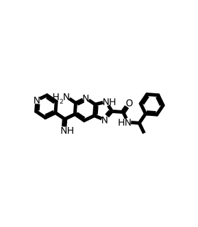 CC(NC(=O)c1nc2cc(C(=N)c3ccncc3)c(N)nc2[nH]1)c1ccccc1